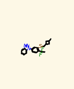 CC1CC(CSc2cc(-n3nnc4ccccc43)ccc2C(C)(F)F)C1